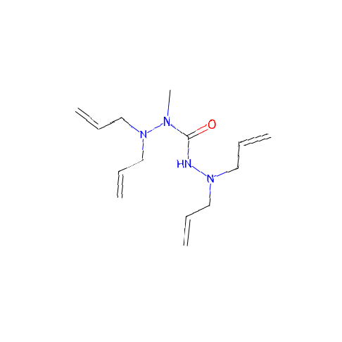 C=CCN(CC=C)NC(=O)N(C)N(CC=C)CC=C